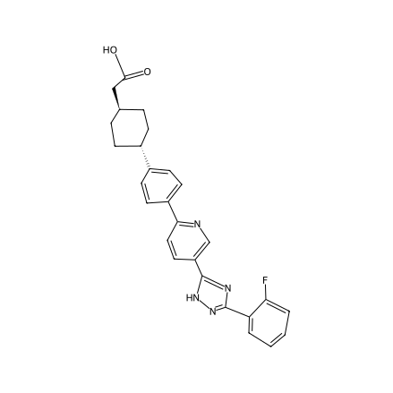 O=C(O)C[C@H]1CC[C@H](c2ccc(-c3ccc(-c4nc(-c5ccccc5F)n[nH]4)cn3)cc2)CC1